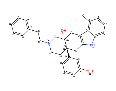 Cc1cccc2[nH]c3c(c12)C[C@]1(O)CN(CCc2ccccc2)CC[C@@]1(c1cccc(O)c1)C3